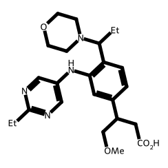 CCc1ncc(Nc2cc(C(COC)CC(=O)O)ccc2C(CC)N2CCOCC2)cn1